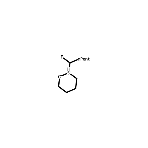 CCCCCC(F)[SiH]1CCCCO1